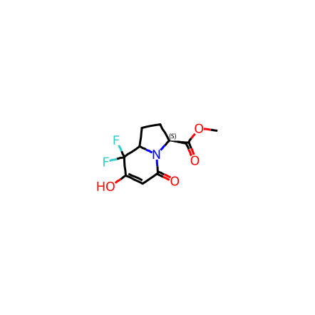 COC(=O)[C@@H]1CCC2N1C(=O)C=C(O)C2(F)F